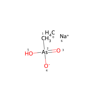 C.C[As](=O)([O-])O.[Na+]